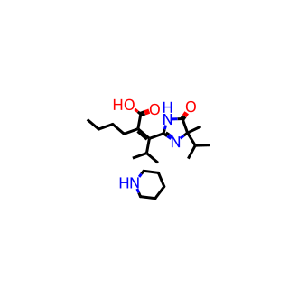 C1CCNCC1.CCCC/C(C(=O)O)=C(/C1=NC(C)(C(C)C)C(=O)N1)C(C)C